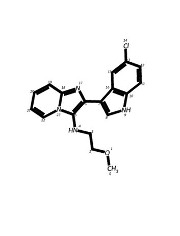 COCCNc1c(-c2c[nH]c3ccc(Cl)cc23)nc2ccccn12